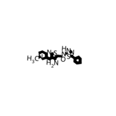 CN1CCc2nc3sc(C(=O)Nc4nnc(-c5ccccc5)s4)c(N)c3cc2C1